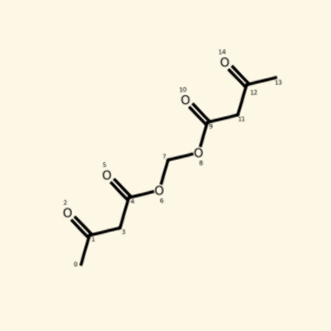 CC(=O)CC(=O)OCOC(=O)CC(C)=O